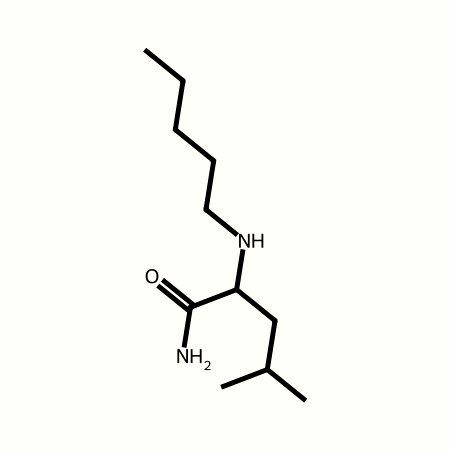 CCCCCNC(CC(C)C)C(N)=O